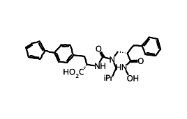 CC(C)CN(C[C@H](Cc1ccccc1)C(=O)NO)C(=O)N[C@@H](Cc1ccc(-c2ccccc2)cc1)C(=O)O